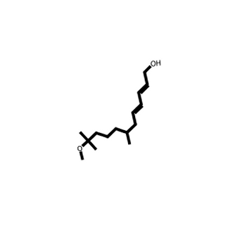 COC(C)(C)CCCC(C)C/C=C/C=C/CO